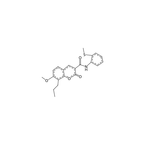 CCCc1c(OC)ccc2cc(C(=O)Nc3ccccc3SC)c(=O)oc12